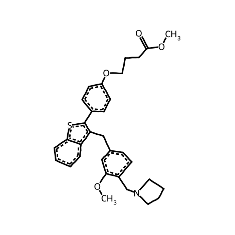 COC(=O)CCCOc1ccc(-c2sc3ccccc3c2Cc2ccc(CN3CCCC3)c(OC)c2)cc1